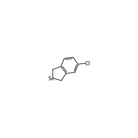 Clc1ccc2c(c1)C[Se]C2